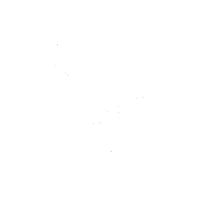 CC(C)(C)OC(=O)N1CCC(COc2ccc(C(F)(F)F)cc2NS(=O)(=O)c2ccccc2Cl)CC1